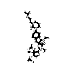 C#C[C@]1(OC(C)=O)[C@@H](OC(C)=O)CO[C@@H]1COC(Cc1ccc(N2CCCN(CCOC(C)=O)C2=O)cc1)(C(=O)OCC)C(=O)OCC